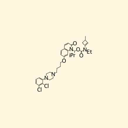 CCN(C(=O)OC(C(C)C)n1c(=O)ccc2ccc(OCCCCN3CCN(c4cccc(Cl)c4Cl)CC3)cc21)C1=CC(C)C1